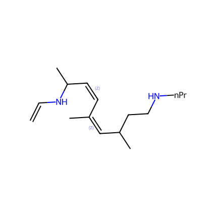 C=CNC(C)/C=C\C(C)=C/C(C)CCNCCC